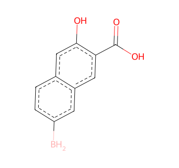 Bc1ccc2cc(O)c(C(=O)O)cc2c1